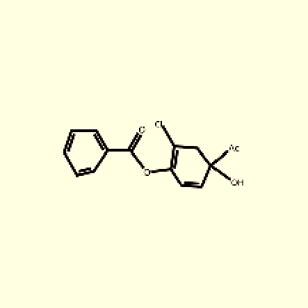 CC(=O)C1(O)C=CC(OC(=O)c2ccccc2)=C(Cl)C1